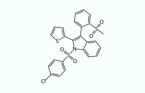 CS(=O)(=O)c1ccccc1-c1c(-c2cccs2)n(S(=O)(=O)c2ccc(Cl)cc2)c2ccccc12